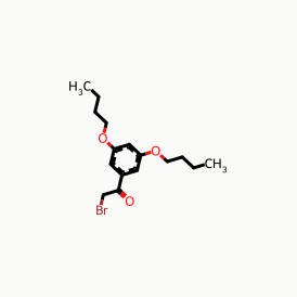 CCCCOc1cc(OCCCC)cc(C(=O)CBr)c1